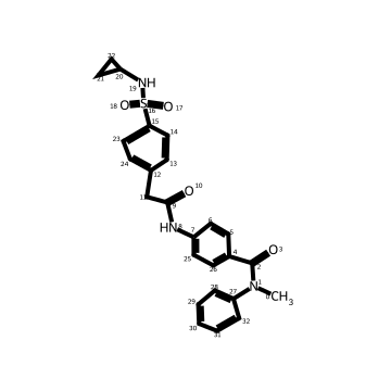 CN(C(=O)c1ccc(NC(=O)Cc2ccc(S(=O)(=O)NC3CC3)cc2)cc1)c1ccccc1